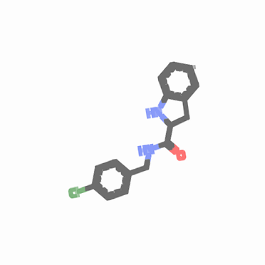 O=C(NCc1ccc(Cl)cc1)C1Cc2c[c]ccc2N1